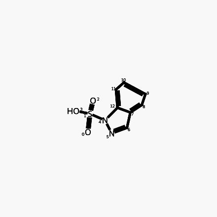 O=S(=O)(O)n1ncc2ccccc21